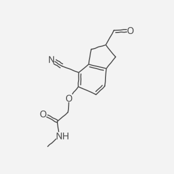 CNC(=O)COc1ccc2c(c1C#N)CC(C=O)C2